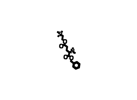 CN(C)C(CCC(=O)OCC[Si](C)(C)C)C(=O)OCc1ccccc1